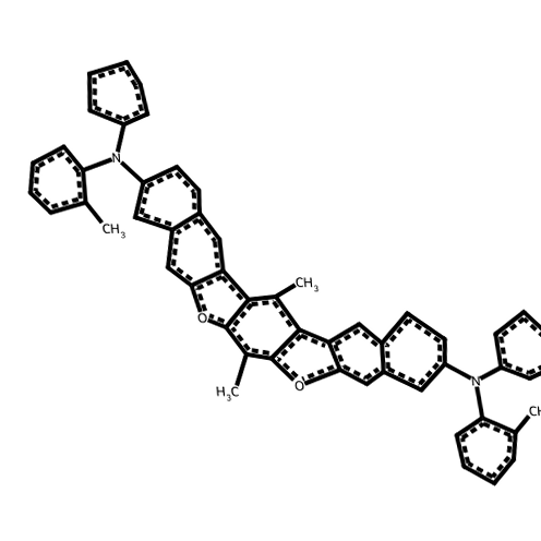 Cc1ccccc1N(c1ccccc1)c1ccc2cc3c(cc2c1)oc1c(C)c2oc4cc5cc(N(c6ccccc6)c6ccccc6C)ccc5cc4c2c(C)c13